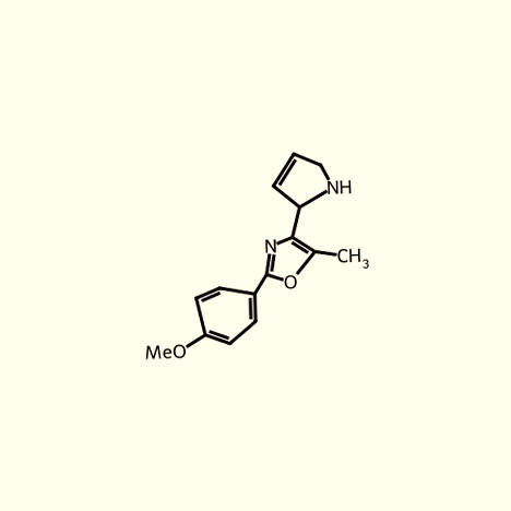 COc1ccc(-c2nc(C3C=CCN3)c(C)o2)cc1